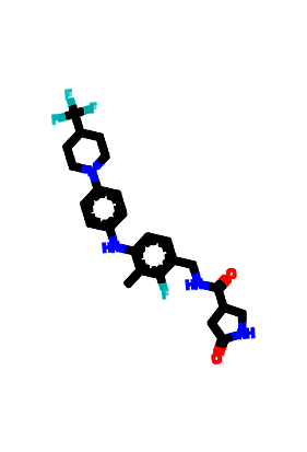 Cc1c(Nc2ccc(N3CCC(C(F)(F)F)CC3)cc2)ccc(CNC(=O)C2CNC(=O)C2)c1F